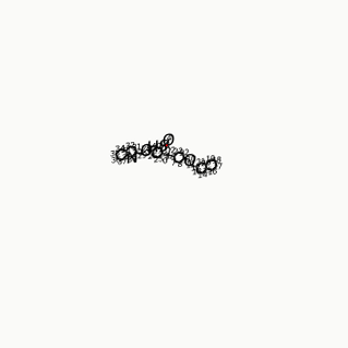 CC(CC(=O)S)(c1ccc(OCc2ccc3ccccc3c2)cc1)c1ccc(OCc2ccc3ccccc3n2)cc1